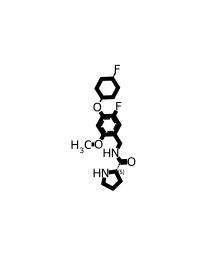 COc1cc(O[C@H]2CC[C@@H](F)CC2)c(F)cc1CNC(=O)[C@@H]1CCCN1